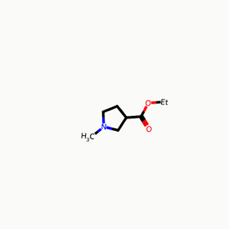 CCOC(=O)C1CCN(C)C1